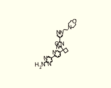 Nc1ncc(-c2ccc(C3(c4noc(-c5cnn(CCN6CCOCC6)c5)n4)CCC3)cn2)cn1